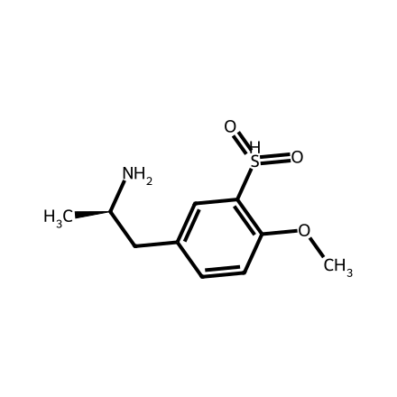 COc1ccc(C[C@@H](C)N)cc1[SH](=O)=O